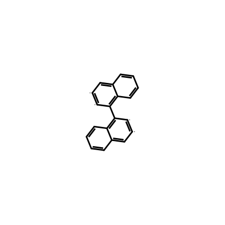 [c]1[c]c(-c2[c][c]cc3ccccc23)c2ccccc2c1